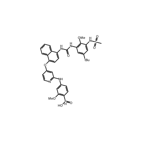 COc1cc(Nc2cc(Oc3ccc(NC(=O)Nc4cc(C(C)(C)C)cc(NS(C)(=O)=O)c4OC)c4ccccc34)ccn2)ccc1[PH](=O)O